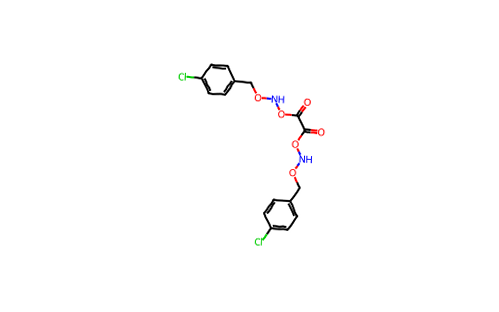 O=C(ONOCc1ccc(Cl)cc1)C(=O)ONOCc1ccc(Cl)cc1